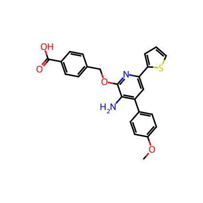 COc1ccc(-c2cc(-c3cccs3)nc(OCc3ccc(C(=O)O)cc3)c2N)cc1